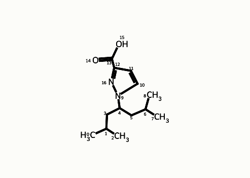 CC(C)CC(CC(C)C)n1ccc(C(=O)O)n1